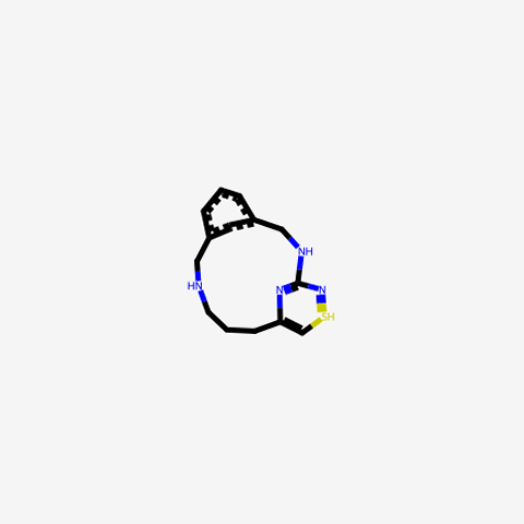 C1=C2CCCNCc3cccc(c3)CNC(=N2)N=[SH]1